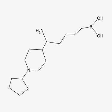 NC(CCCCB(O)O)C1CCN(C2CCCC2)CC1